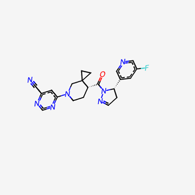 N#Cc1cc(N2CC[C@@H](C(=O)N3N=CC[C@H]3c3cncc(F)c3)C3(CC3)C2)ncn1